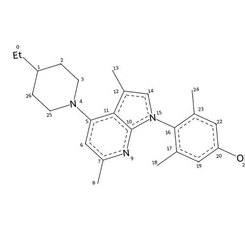 CCC1CCN(c2cc(C)nc3c2c(C)cn3-c2c(C)cc(OC)cc2C)CC1